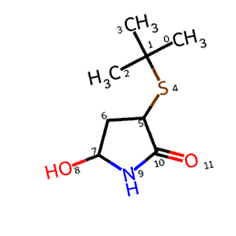 CC(C)(C)SC1CC(O)NC1=O